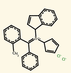 Cc1ccccc1[C](c1ccccc1)=[Zr+2]([CH]1C=CC=C1)[CH]1C=Cc2ccccc21.[Cl-].[Cl-]